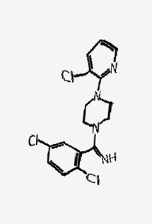 N=C(c1cc(Cl)ccc1Cl)N1CCN(c2ncccc2Cl)CC1